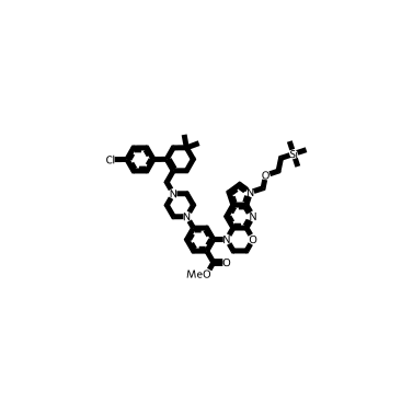 COC(=O)c1ccc(N2CCN(CC3=C(c4ccc(Cl)cc4)CC(C)(C)CC3)CC2)cc1N1CCOc2nc3c(ccn3COCC[Si](C)(C)C)cc21